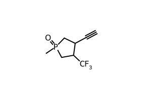 C#CC1CP(C)(=O)CC1C(F)(F)F